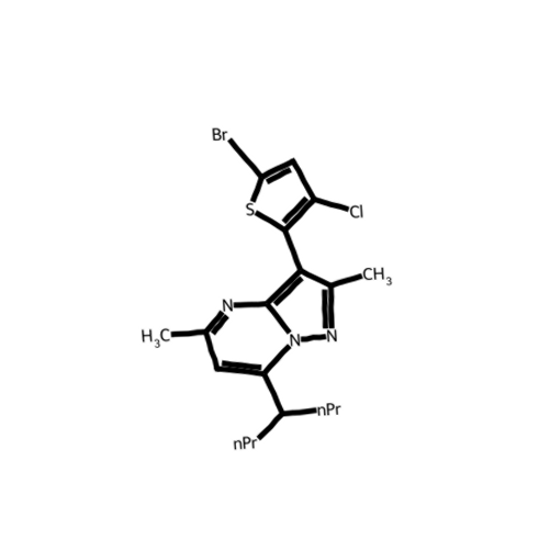 CCCC(CCC)c1cc(C)nc2c(-c3sc(Br)cc3Cl)c(C)nn12